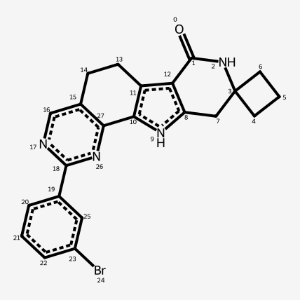 O=C1NC2(CCC2)Cc2[nH]c3c(c21)CCc1cnc(-c2cccc(Br)c2)nc1-3